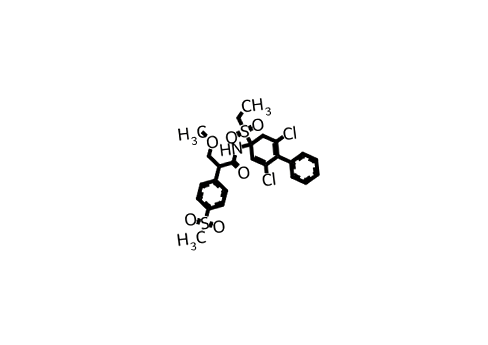 CCS(=O)(=O)C1(NC(=O)C(COC)c2ccc(S(C)(=O)=O)cc2)C=C(Cl)C(c2ccccc2)=C(Cl)C1